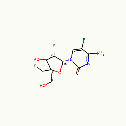 Nc1nc(=S)n([C@@H]2O[C@@](CO)(CF)C(O)[C@@H]2F)cc1F